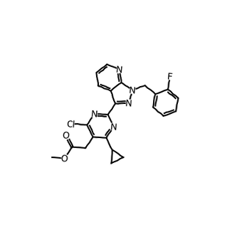 COC(=O)Cc1c(Cl)nc(-c2nn(Cc3ccccc3F)c3ncccc23)nc1C1CC1